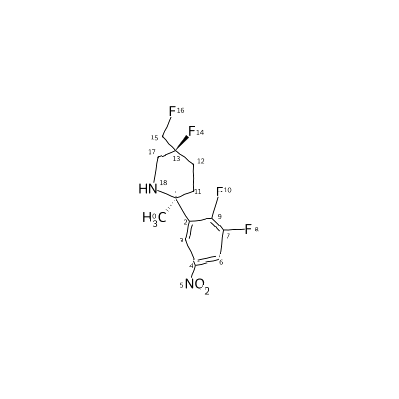 C[C@@]1(c2cc([N+](=O)[O-])cc(F)c2F)CC[C@@](F)(CF)CN1